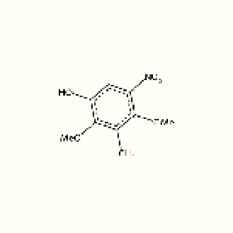 COc1c(O)cc([N+](=O)[O-])c(OC)c1C